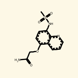 CS(=O)(=O)Nc1ccc(OCC(N)=O)c2cccnc12